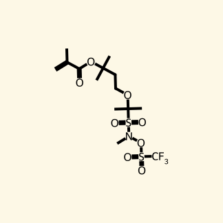 C=C(C)C(=O)OC(C)(C)CCOC(C)(C)S(=O)(=O)N(C)OS(=O)(=O)C(F)(F)F